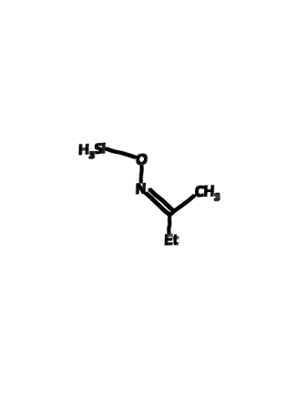 CCC(C)=NO[SiH3]